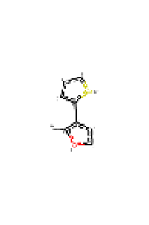 Cc1occc1-c1cccs1